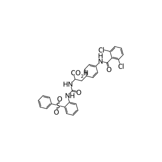 O=C(Nc1ccccc1S(=O)(=O)c1ccccc1)NC(Cc1ccc(NC(=O)c2c(Cl)cccc2Cl)cc1)C(=O)O